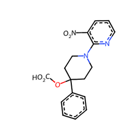 O=C(O)OC1(c2ccccc2)CCN(c2ncccc2[N+](=O)[O-])CC1